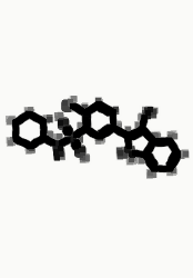 CC(C)c1c(-c2ccc(Cl)c(S(=O)(=O)NC3CCCCC3)c2)[nH]c2ccccc12